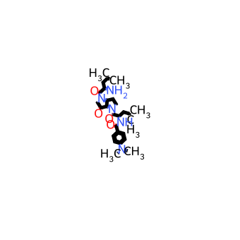 CC(C)CC(N)C(=O)N1CC(=O)C2C1CCN2C(=O)C(CC(C)C)NC(=O)c1ccc(N(C)C)cc1